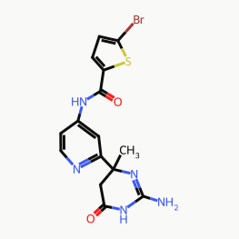 CC1(c2cc(NC(=O)c3ccc(Br)s3)ccn2)CC(=O)NC(N)=N1